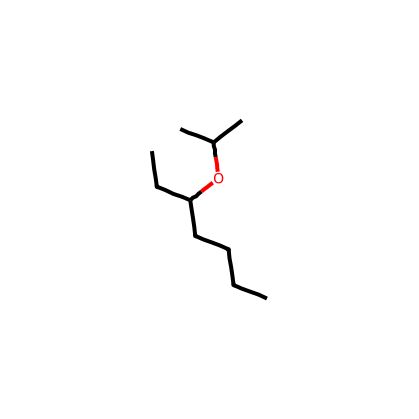 CCCCC(CC)OC(C)C